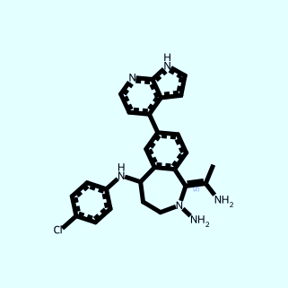 C/C(N)=C1\c2ccc(-c3ccnc4[nH]ccc34)cc2C(Nc2ccc(Cl)cc2)CCN1N